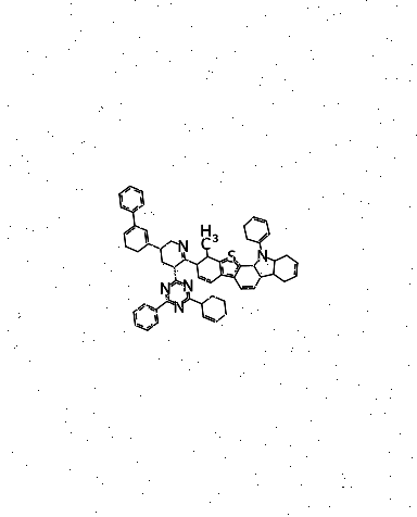 CC1c2sc3c(c2C=CC1C1=NCC(C2=CC(c4ccccc4)=CCC2)CC1c1nc(-c2ccccc2)nc(C2C=CCCC2)n1)C=CC1C2CC=CCC2N(C2=CC=CCC2)C31